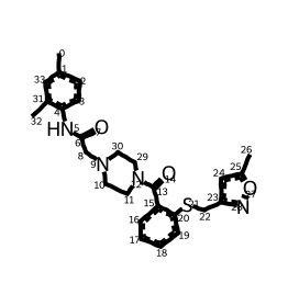 Cc1ccc(NC(=O)CN2CCN(C(=O)c3ccccc3SCc3cc(C)on3)CC2)c(C)c1